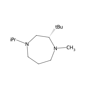 CC(C)N1CCCN(C)[C@@H](C(C)(C)C)C1